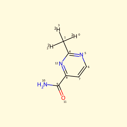 [2H]C([2H])([2H])c1nccc(C(N)=O)n1